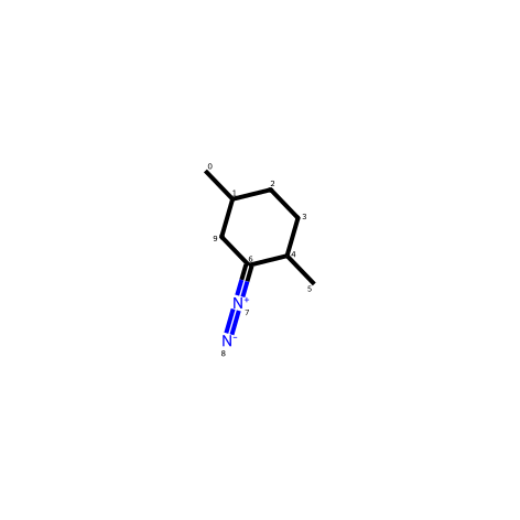 CC1CCC(C)C(=[N+]=[N-])C1